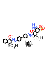 Nc1cc(S(=O)(=O)[O-])cc2cc(S(=O)(=O)O)c(N=Nc3ccc(-c4ccc(N=Nc5cc(S(=O)(=O)O)c6ccccc6c5[O-])cc4)cc3)c([O-])c12.[Na+].[Na+].[Na+]